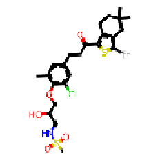 CCc1sc(C(=O)CCc2cc(C)c(OCC(O)CNS(C)(=O)=O)c(Cl)c2)c2c1CC(C)(C)CC2